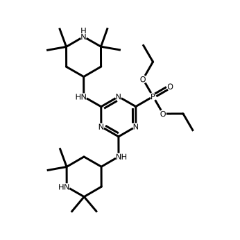 CCOP(=O)(OCC)c1nc(NC2CC(C)(C)NC(C)(C)C2)nc(NC2CC(C)(C)NC(C)(C)C2)n1